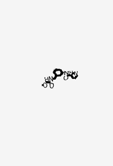 COCC(=O)NCC1CCC[C@H](NC(=O)c2cccnc2)C1